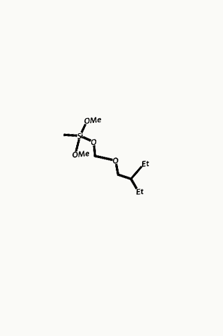 CCC(CC)COCO[Si](C)(OC)OC